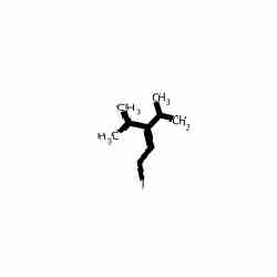 CC(C)C(=CCI)C(C)C